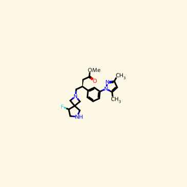 COC(=O)C[C@H](CN1CC2(CNCC2F)C1)c1cccc(-n2nc(C)cc2C)c1